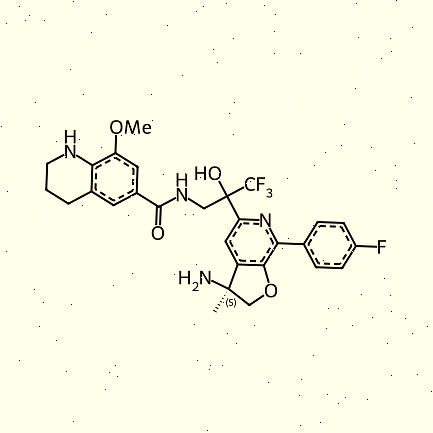 COc1cc(C(=O)NCC(O)(c2cc3c(c(-c4ccc(F)cc4)n2)OC[C@@]3(C)N)C(F)(F)F)cc2c1NCCC2